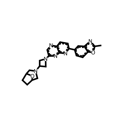 Cc1nc2cc(-c3ccc4ncc(N5CC(N6CC7CCC(C6)O7)C5)nc4n3)ccc2o1